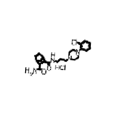 Cl.NC(=O)C1C2C=CC(C2)C1C(=O)NCCCN1CCN(c2ccccc2Cl)CC1